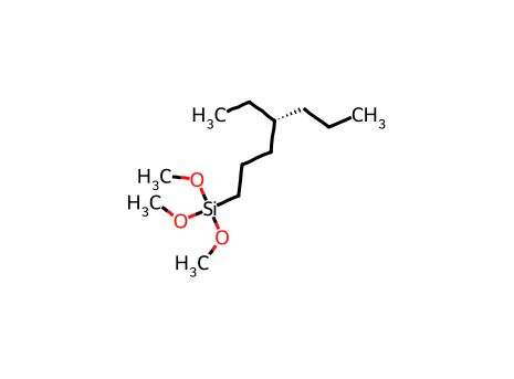 CCC[C@@H](CC)CCC[Si](OC)(OC)OC